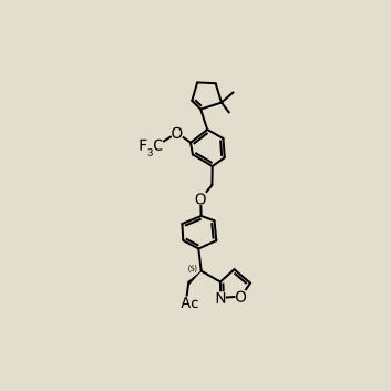 CC(=O)C[C@@H](c1ccc(OCc2ccc(C3=CCCC3(C)C)c(OC(F)(F)F)c2)cc1)c1ccon1